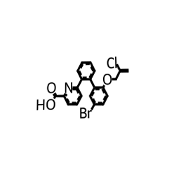 C=C(Cl)COc1ccc(Br)cc1-c1ccccc1-c1cccc(C(=O)O)n1